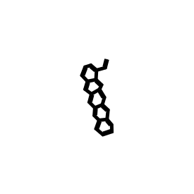 C=Cc1cccc2cc3cc4cc5ccccc5cc4cc3cc12